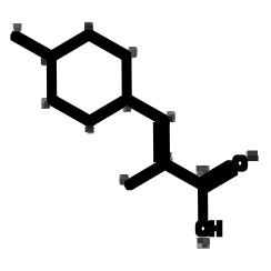 C/C(=C\C1CCC(C)CC1)C(=O)O